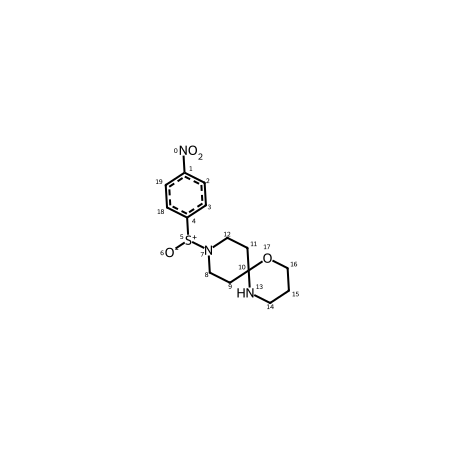 O=[N+]([O-])c1ccc([S+]([O-])N2CCC3(CC2)NCCCO3)cc1